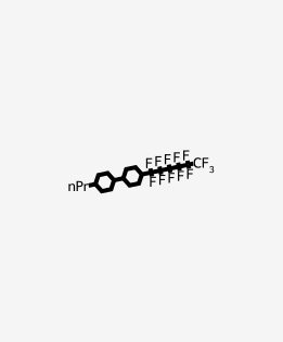 CCCC1CCC(C2CCC(C(F)(F)C(F)(F)C(F)(F)C(F)(F)C(F)(F)C(F)(F)F)CC2)CC1